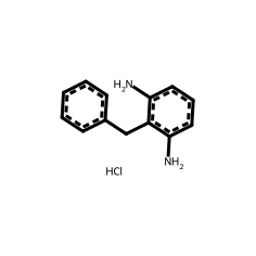 Cl.Nc1cccc(N)c1Cc1ccccc1